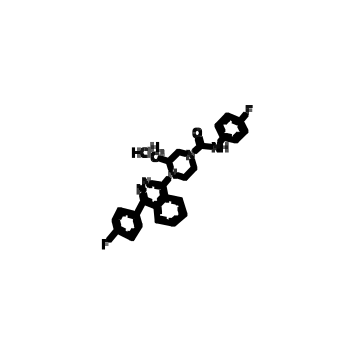 CC1CN(C(=O)Nc2ccc(F)cc2)CCN1c1nnc(-c2ccc(F)cc2)c2ccccc12.Cl